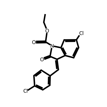 CCOC(=O)N1C(=O)C(=Cc2ccc(Cl)cc2)c2ccc(Cl)cc21